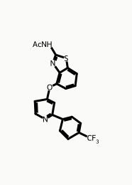 CC(=O)Nc1nc2c(Oc3ccnc(-c4ccc(C(F)(F)F)cc4)c3)cccc2s1